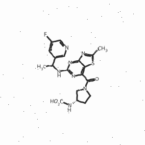 Cc1nc2nc(NC(C)c3cncc(F)c3)nc(C(=O)N3CC[C@H](NC(=O)O)C3)c2s1